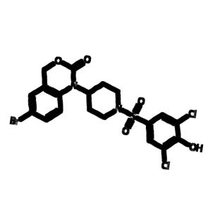 O=C1OCc2cc(Br)ccc2N1C1CCN(S(=O)(=O)c2cc(Cl)c(O)c(Cl)c2)CC1